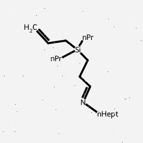 C=CC[Si](CCC)(CCC)CCC=NCCCCCCC